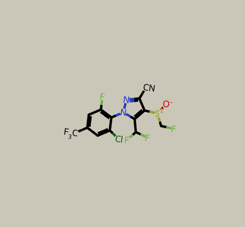 N#Cc1nn(-c2c(F)cc(C(F)(F)F)cc2Cl)c(C(F)F)c1[S+]([O-])CF